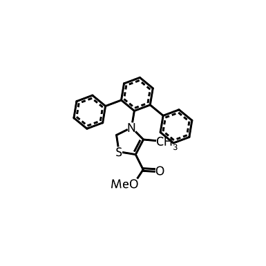 COC(=O)C1=C(C)N(c2c(-c3ccccc3)cccc2-c2ccccc2)CS1